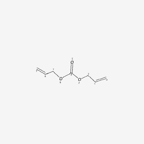 C=CCOC(=O)OCC=C